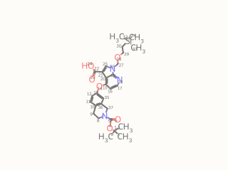 CC(C)(C)OC(=O)N1CCc2ccc(Oc3ccnc4c3c(C(=O)O)cn4COCC[Si](C)(C)C)cc2C1